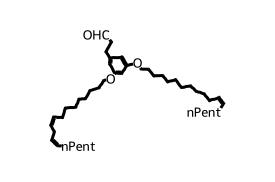 CCCCC/C=C\C/C=C\CCCCCCCCOc1cc(CCC=O)cc(OCCCCCCCCCCC/C=C\CCCCC)c1